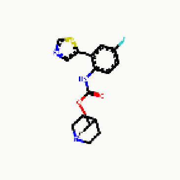 O=C(Nc1ccc(F)cc1-c1cncs1)OC1CN2CCC1CC2